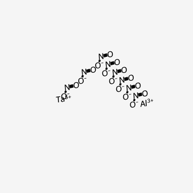 O=N[O-].O=N[O-].O=N[O-].O=N[O-].O=N[O-].O=N[O-].O=N[O-].O=N[O-].[Al+3].[Ta+5]